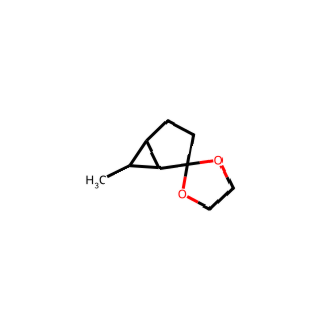 CC1C2CCC3(OCCO3)C12